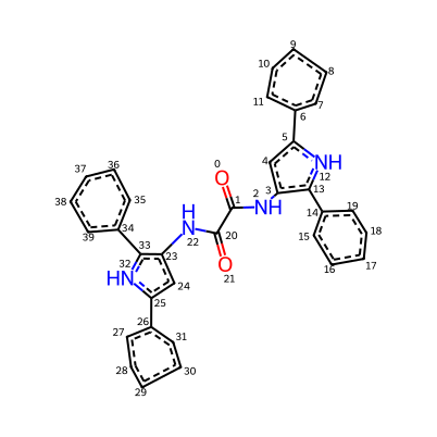 O=C(Nc1cc(-c2ccccc2)[nH]c1-c1ccccc1)C(=O)Nc1cc(-c2ccccc2)[nH]c1-c1ccccc1